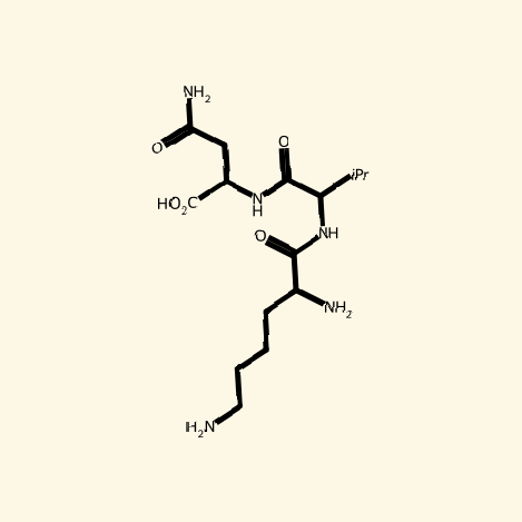 CC(C)C(NC(=O)C(N)CCCCN)C(=O)NC(CC(N)=O)C(=O)O